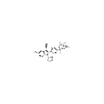 CC(C)(C)NS(=O)(=O)c1ccc(-c2c(C#N)c3cc(Cl)cnc3n2-c2nccs2)nc1